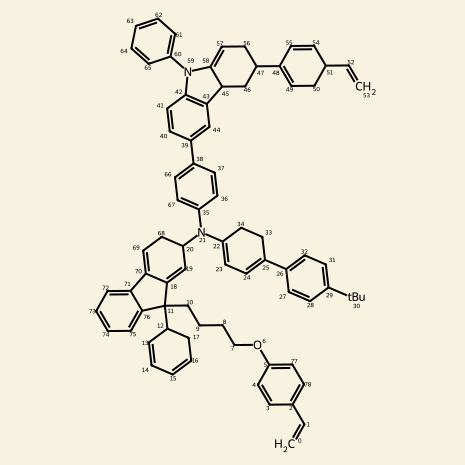 C=Cc1ccc(OCCCCC2(C3C=CC=CC3)C3=CC(N(C4=CC=C(c5ccc(C(C)(C)C)cc5)CC4)c4ccc(-c5ccc6c(c5)C5CC(C7=CCC(C=C)C=C7)CC=C5N6c5ccccc5)cc4)CC=C3c3ccccc32)cc1